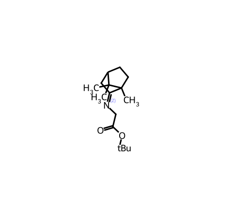 CC(C)(C)OC(=O)C/N=C1/CC2CCC1(C)C2(C)C